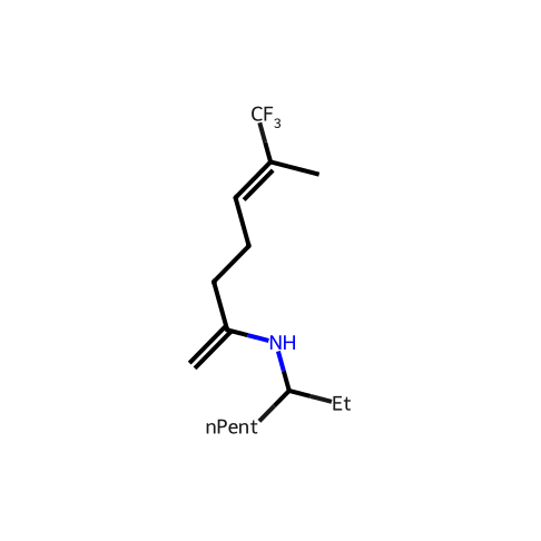 C=C(CC/C=C(\C)C(F)(F)F)NC(CC)CCCCC